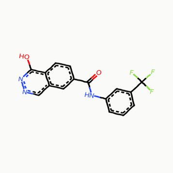 O=C(Nc1cccc(C(F)(F)F)c1)c1ccc2c(O)nncc2c1